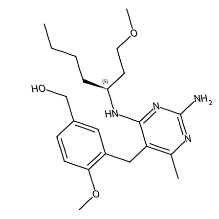 CCCC[C@@H](CCOC)Nc1nc(N)nc(C)c1Cc1cc(CO)ccc1OC